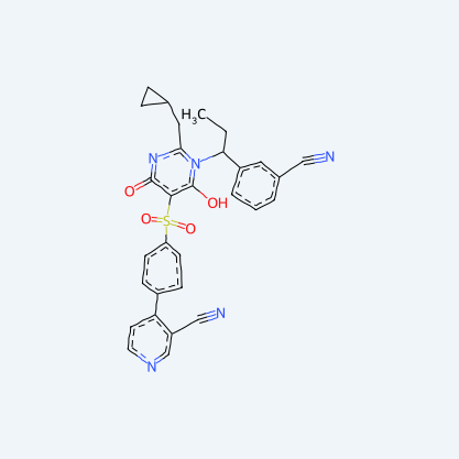 CCC(c1cccc(C#N)c1)n1c(CC2CC2)nc(=O)c(S(=O)(=O)c2ccc(-c3ccncc3C#N)cc2)c1O